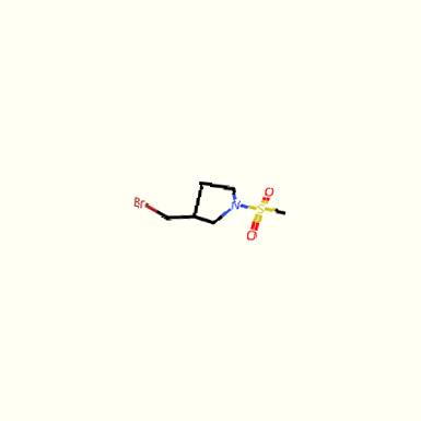 CS(=O)(=O)N1CCC(CBr)C1